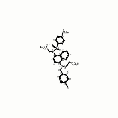 COc1ccc(S(=O)(=O)N(CC(=O)O)c2ccc(N(Cc3ccc(C)cc3)[C@@H](C)CC(=O)O)c3ccccc23)cc1